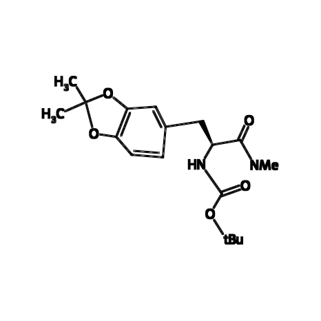 CNC(=O)[C@H](Cc1ccc2c(c1)OC(C)(C)O2)NC(=O)OC(C)(C)C